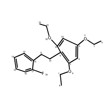 CCOc1cc(OCC)c(C[CH]c2ccccc2F)c(OCC)c1